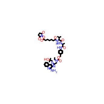 CCN(Cc1nc2c(N)nc3ccccc3c2n1CC(C)(C)O)C(=O)OCc1ccc(NC(=O)C(C)NC(=O)[C@@H](NC(=O)CCCCCC(=O)ON2C(=O)CCC2=O)C(C)C)cc1